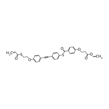 C=COC(=O)CCOc1ccc(C(=O)Sc2ccc(C#Cc3ccc(OCCSC(=O)C=C)cc3)cc2)cc1